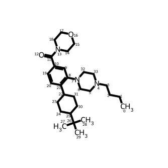 CCCCN1CCN(c2cc(C(=O)N3CCOCC3)ccc2C2CCC(C(C)(C)C)CC2)CC1